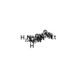 CCN1CCN(C(=O)c2ccc(-n3ncc(C4=C(C)NC(C)=C(N)C=C4)c3O)nc2)CC1